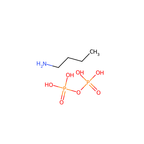 CCCCN.O=P(O)(O)OP(=O)(O)O